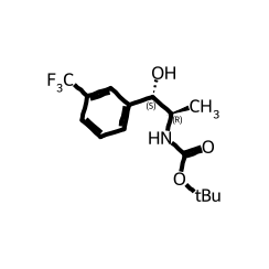 C[C@@H](NC(=O)OC(C)(C)C)[C@@H](O)c1cccc(C(F)(F)F)c1